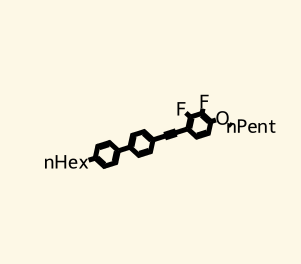 CCCCCCc1ccc(-c2ccc(C#Cc3ccc(OCCCCC)c(F)c3F)cc2)cc1